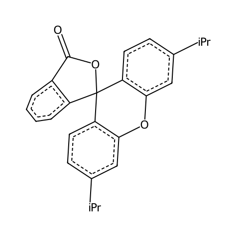 CC(C)c1ccc2c(c1)Oc1cc(C(C)C)ccc1C21OC(=O)c2ccccc21